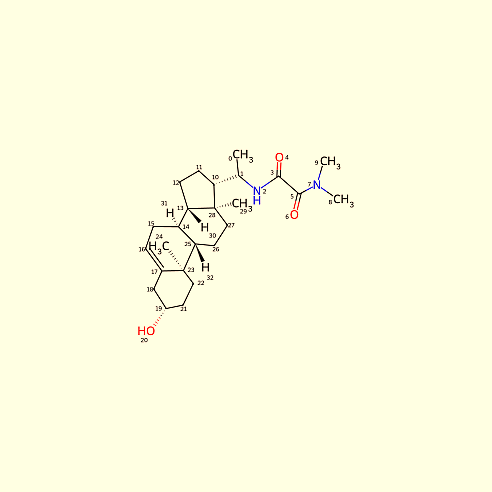 CC(NC(=O)C(=O)N(C)C)[C@H]1CC[C@H]2[C@@H]3CC=C4C[C@@H](O)CC[C@]4(C)[C@H]3CC[C@]12C